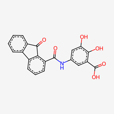 O=C(O)c1cc(NC(=O)c2cccc3c2C(=O)c2ccccc2-3)cc(O)c1O